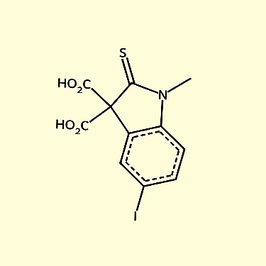 CN1C(=S)C(C(=O)O)(C(=O)O)c2cc(I)ccc21